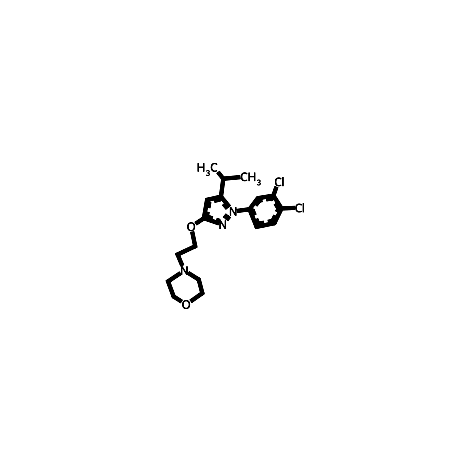 CC(C)c1cc(OCCN2CCOCC2)nn1-c1ccc(Cl)c(Cl)c1